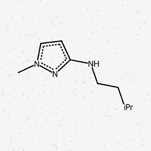 CC(C)CCNc1ccn(C)n1